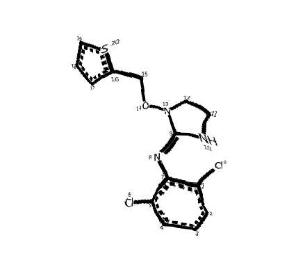 Clc1cccc(Cl)c1/N=C1\NCCN1OCc1cccs1